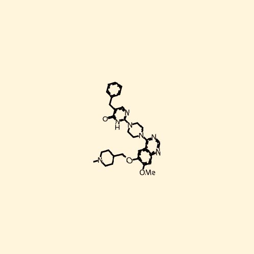 COc1cc2ncnc(N3CCN(c4ncc(Cc5ccccc5)c(=O)[nH]4)CC3)c2cc1OCC1CCN(C)CC1